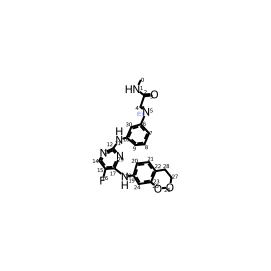 CNC(=O)/C=N/c1cccc(Nc2ncc(F)c(Nc3ccc4c(c3)OOCC4)n2)c1